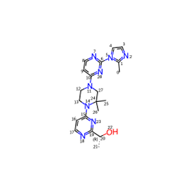 Cc1nccn1-c1nccc(N2CCN(c3ccnc([C@@H](C)O)n3)C(C)(C)C2)n1